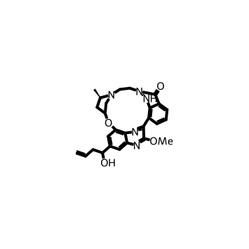 C=CCC(O)c1cc2c3nc(c(OC)nc3c1)-c1cccc3c(=O)n([nH]c13)CCN1CC(C[C@H]1C)O2